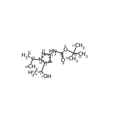 CC(O)c1cc(NC(=O)OC(C)(C)C)nn1C(C)C